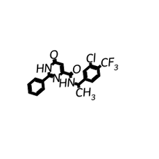 CC(NC(=O)c1cc(=O)[nH]c(-c2ccccc2)n1)c1ccc(C(F)(F)F)c(Cl)c1